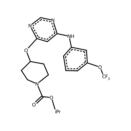 CC(C)OC(=O)N1CCC(Oc2cc(Nc3cccc(OC(F)(F)F)c3)ncn2)CC1